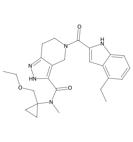 CCOCC1(N(C)C(=O)c2[nH]nc3c2CN(C(=O)c2cc4c(CC)cccc4[nH]2)CC3)CC1